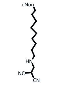 CCCCCCCCCCCCCCCCCCNCC(C#N)C#N